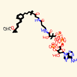 CC(C)(CCCc1cccc(CCCC2(OC=O)CC2)c1)C(=O)CCNC(=O)CCNC(=O)C(O)C(C)(C)COP(=O)(O)OP(=O)(O)OCC1OC(n2cnc3c(N)ncnc32)C(O)C1OP(=O)(O)O